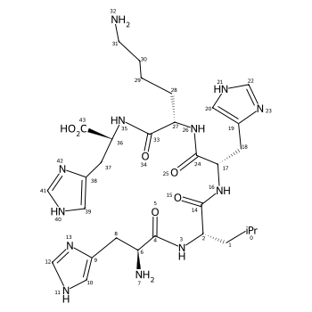 CC(C)C[C@H](NC(=O)[C@@H](N)Cc1c[nH]cn1)C(=O)N[C@@H](Cc1c[nH]cn1)C(=O)N[C@@H](CCCCN)C(=O)N[C@@H](Cc1c[nH]cn1)C(=O)O